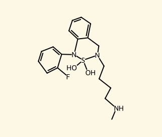 CNCCCCN1Cc2ccccc2N(c2ccccc2F)S1(O)O